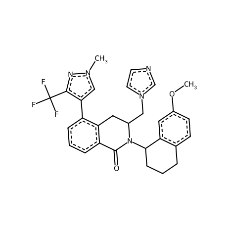 COc1ccc2c(c1)C(N1C(=O)c3cccc(-c4cn(C)nc4C(F)(F)F)c3CC1Cn1ccnc1)CCC2